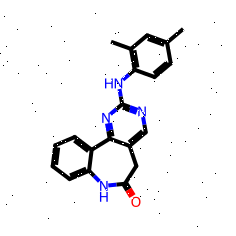 Cc1ccc(Nc2ncc3c(n2)-c2ccccc2NC(=O)C3)c(C)c1